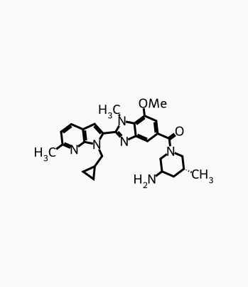 COc1cc(C(=O)N2CC(N)C[C@@H](C)C2)cc2nc(-c3cc4ccc(C)nc4n3CC3CC3)n(C)c12